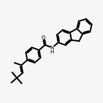 CC(=CC(C)(C)C)c1ccc(C(=O)Nc2ccc3c(c2)Cc2ccccc2-3)cc1